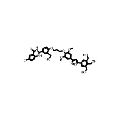 COc1cc(-c2cc(-c3cc(CO)c(CO)c(CO)c3)on2)cc(OC)c1OCCCOc1ccc(C2NC(=O)c3cc(Cl)ccc3N2)cc1CO